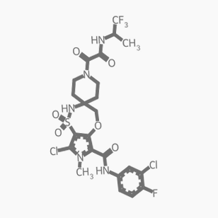 CC(NC(=O)C(=O)N1CCC2(CC1)COc1c(c(Cl)n(C)c1C(=O)Nc1ccc(F)c(Cl)c1)S(=O)(=O)N2)C(F)(F)F